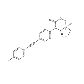 O=C1OC[C@H]2CCC=C2N1c1ccc(C#Cc2ccc(F)cc2)cn1